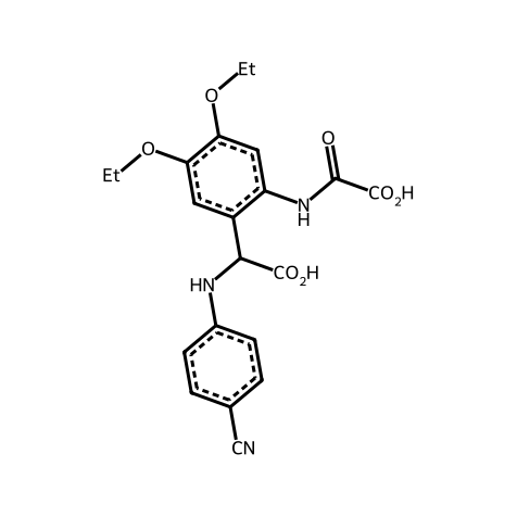 CCOc1cc(NC(=O)C(=O)O)c(C(Nc2ccc(C#N)cc2)C(=O)O)cc1OCC